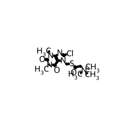 Cn1c(=O)c2c(nc(Cl)n2CSC(=O)C[N+](C)(C)C)n(C)c1=O